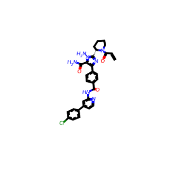 C=CC(=O)N1CCCC[C@H]1c1nc(-c2ccc(C(=O)Nc3cc(-c4ccc(Cl)cc4)ccn3)cc2)c(C(N)=O)n1N